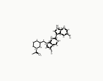 CC(=O)N1CCCC(Cn2cc(F)c3cnc(-c4c[nH]c5ncc(F)cc45)nc32)C1